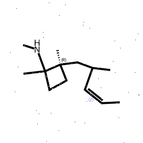 C/C=C\C(C)C[C@@]1(C)CCC1(C)NC